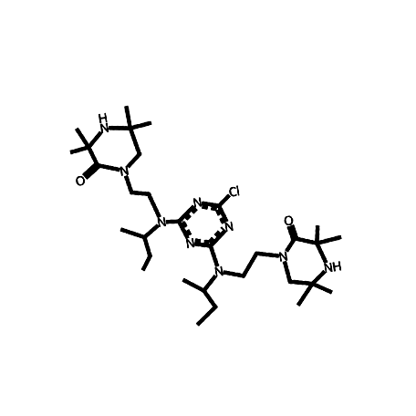 CCC(C)N(CCN1CC(C)(C)NC(C)(C)C1=O)c1nc(Cl)nc(N(CCN2CC(C)(C)NC(C)(C)C2=O)C(C)CC)n1